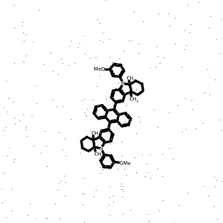 COc1cccc(N2c3ccc(-c4c5ccccc5c(-c5ccc6c(c5)C5(C)CCCCC5(C)N6c5cccc(OC)c5)c5ccccc45)cc3C3(C)CCCCC23C)c1